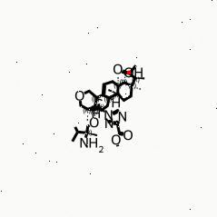 COC(=O)c1ncn([C@@H]2C[C@@]34COC[C@@](C)([C@@H]3CC[C@H]3C4=CC[C@@]4(C)[C@H](C(=O)O)[C@@](C)([C@H](C)C(C)C)CC[C@]34C)[C@H]2OC[C@](C)(N)C(C)C)n1